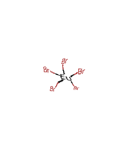 [Br][Eu]([Br])([Br])([Br])[Br]